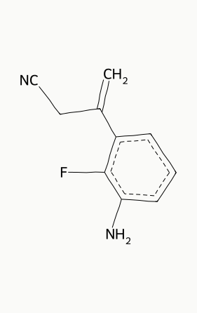 C=C(CC#N)c1cccc(N)c1F